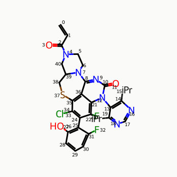 C=CC(=O)N1CCN2c3nc(=O)n(-c4c(C(C)C)ncnc4C(C)C)c4c(F)c(-c5c(O)cccc5F)c(Cl)c(c34)SCC2C1